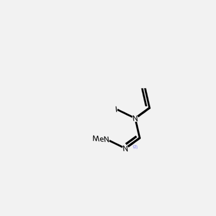 C=CN(I)/C=N\NC